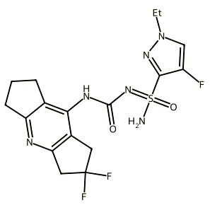 CCn1cc(F)c(S(N)(=O)=NC(=O)Nc2c3c(nc4c2CC(F)(F)C4)CCC3)n1